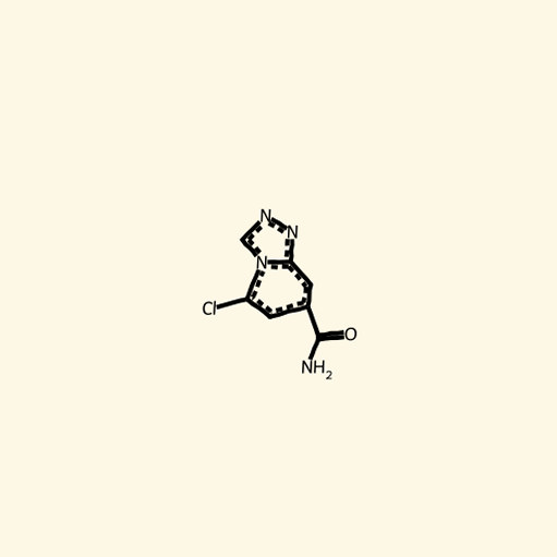 NC(=O)c1cc(Cl)n2cnnc2c1